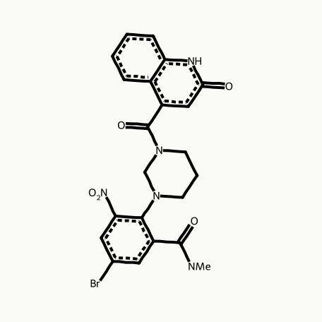 CNC(=O)c1cc(Br)cc([N+](=O)[O-])c1N1CCCN(C(=O)c2cc(=O)[nH]c3ccccc23)C1